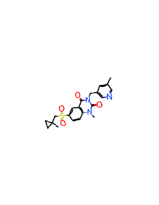 Cc1cncc(Cn2c(=O)c3cc(S(=O)(=O)CC4(C)CC4)ccc3n(C)c2=O)c1